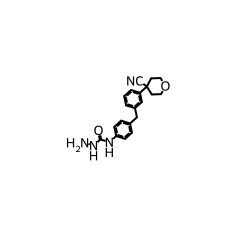 N#CC1(c2cccc(Cc3ccc(NC(=O)NN)cc3)c2)CCOCC1